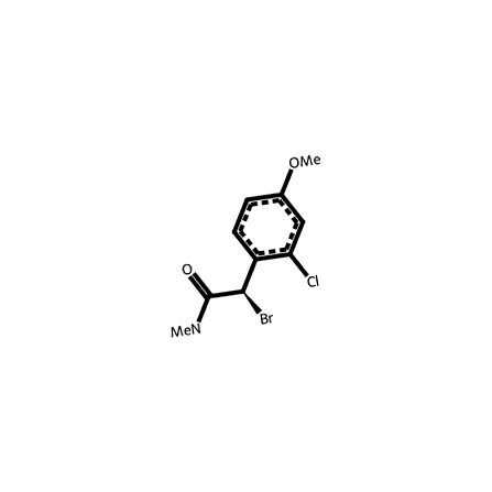 CNC(=O)[C@H](Br)c1ccc(OC)cc1Cl